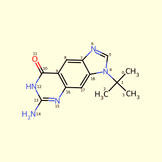 CC(C)(C)n1cnc2cc3c(=O)[nH]c(N)nc3cc21